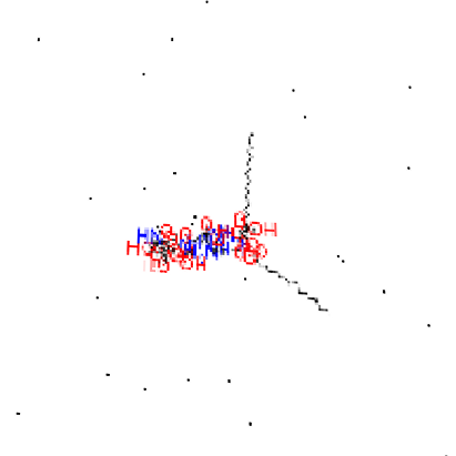 CCCCCCCCCCCCCCCC(=O)OP(=O)(OCCN[C@@](C)(N)C(=O)N[C@H](CCC(=O)N(CC(C)O[C@H]1[C@H](O)[C@@H](CO)O[C@H](O)[C@@H]1NC(C)=O)[C@@H](C)C(=O)O)C(N)=O)OC[C@H](O)[C@@H](O)C(=O)CCCCCCCCCCCCCCC